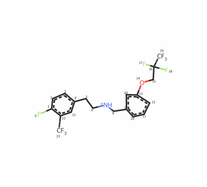 Fc1ccc(CCNCc2cccc(OCC(F)(F)C(F)(F)F)c2)cc1C(F)(F)F